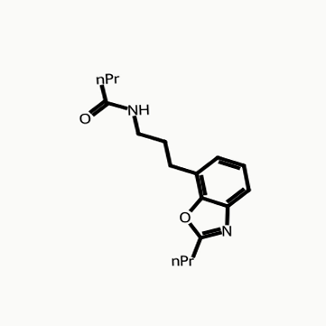 CCCC(=O)NCCCc1cccc2nc(CCC)oc12